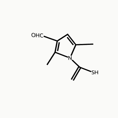 C=C(S)n1c(C)cc(C=O)c1C